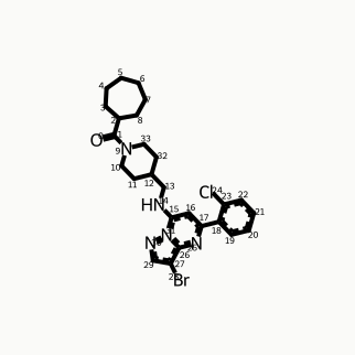 O=C(C1CCCCCC1)N1CCC(CNc2cc(-c3ccccc3Cl)nc3c(Br)cnn23)CC1